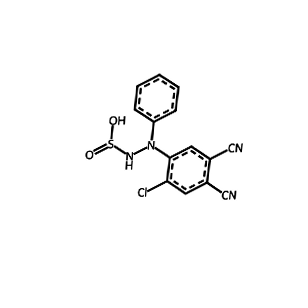 N#Cc1cc(Cl)c(N(NS(=O)O)c2ccccc2)cc1C#N